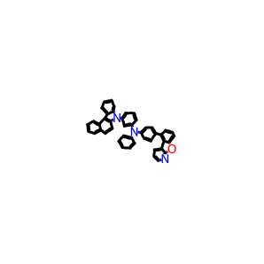 c1ccc(N(c2ccc(-c3cccc4oc5ncccc5c34)cc2)c2cccc(-n3c4ccccc4c4c5ccccc5ccc43)c2)cc1